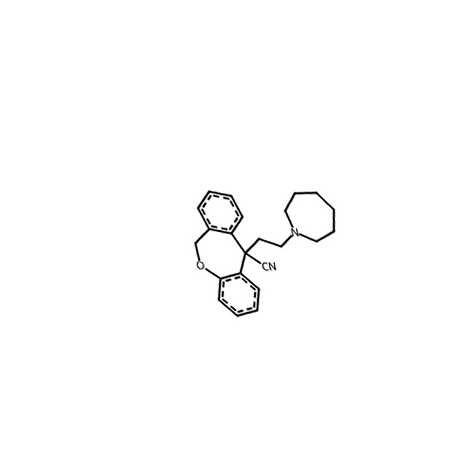 N#CC1(CCN2CCCCCC2)c2ccccc2COc2ccccc21